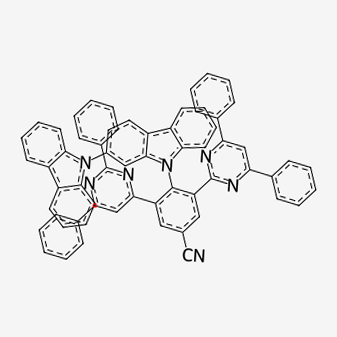 N#Cc1cc(-c2cc(-c3ccccc3)nc(-c3ccccc3)n2)c(-n2c3ccccc3c3ccc(-n4c5ccccc5c5ccccc54)cc32)c(-c2nc(-c3ccccc3)cc(-c3ccccc3)n2)c1